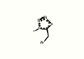 CC(C)Cc1nnnn1F